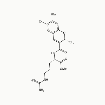 COC(=O)[C@H](CCCNC(=N)N)NC(=O)C1=Cc2cc(Cl)c(C(C)(C)C)cc2O[C@@H]1C(F)(F)F